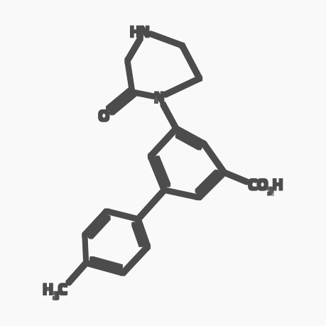 Cc1ccc(-c2cc(C(=O)O)cc(N3CCNCC3=O)c2)cc1